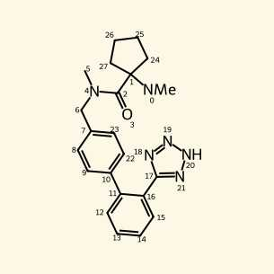 CNC1(C(=O)N(C)Cc2ccc(-c3ccccc3-c3nn[nH]n3)cc2)CCCC1